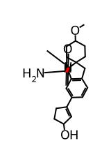 COC1CCC2(CC1)Cc1ccc(C3=CC(O)CC3)cc1C21N=C(N)N(C)C1=O